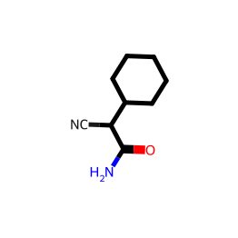 N#CC(C(N)=O)C1CCCCC1